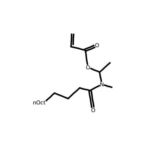 C=CC(=O)OC(C)N(C)C(=O)CCCCCCCCCCC